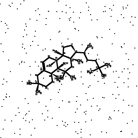 C[C@H](CCC(C)(C)O)[C@H]1CC[C@H]2[C@@H]3CC=C4C[C@@](C)(O)CC[C@]4(C)[C@H]3C(C)(O)C[C@]12C